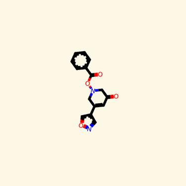 O=C1C=C(c2cnoc2)CN(OC(=O)c2ccccc2)C1